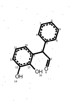 O=CC(c1ccccc1)c1cccc(O)c1O